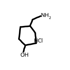 Cl.NCC1CCC(O)CC1